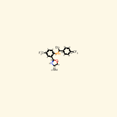 CCC(Pc1ccc(C(F)(F)F)cc1C1=N[C@@H](C(C)(C)C)CO1)c1ccc(C(F)(F)F)cc1